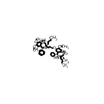 CCCC[C@]1(CCCOc2cc3c(cc2OC)S(=O)(=O)C[C@@](CC)(CCCC)N(O)[C@@H]3c2ccccc2)CS(=O)(=O)c2cc(OC)c(OC)cc2[C@@H](c2ccccc2)N1